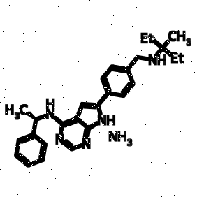 CCC(C)(CC)NCc1ccc(-c2cc3c(N[C@H](C)c4ccccc4)ncnc3[nH]2)cc1.N